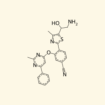 Cc1nc(Oc2cc(C#N)ccc2-c2nc(C)c(C(O)CN)s2)cc(-c2ccccc2)n1